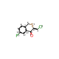 O=C1C(=CCl)SCc2ccc(F)cc21